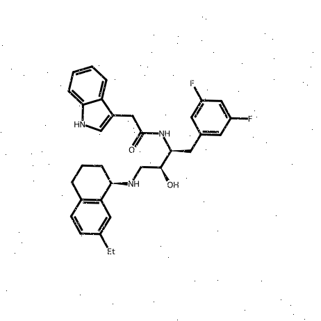 CCc1ccc2c(c1)[C@H](NC[C@H](O)[C@H](Cc1cc(F)cc(F)c1)NC(=O)Cc1c[nH]c3ccccc13)CCC2